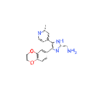 Cc1cc(-c2[nH]c(CN)nc2-c2ccc3c(c2)OCCO3)ccn1